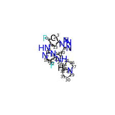 Fc1ccc(-n2nnnc2C2CC2)cc1Nc1ncc(F)c(NC[C@@H]2CCCN3CCCC[C@H]23)n1